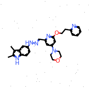 Cc1[nH]c2ccc(N/N=C/c3cc(N4CCOCC4)cc(OCCc4ccccn4)n3)cc2c1C